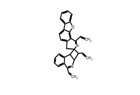 C=CC1=NC2C(C=C)C3(Cc4ccc5c(oc6ccccc65)c4C(C=C)=N3)C2c2ccccc21